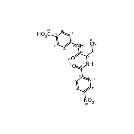 N#CCC(NC(=O)c1ccc([N+](=O)[O-])cn1)C(=O)Nc1ccc(C(=O)O)cc1